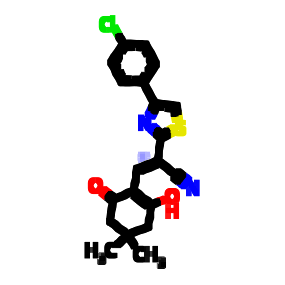 CC1(C)CC(=O)C(/C=C(\C#N)c2nc(-c3ccc(Cl)cc3)cs2)=C(O)C1